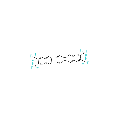 FC(F)(F)c1cc2cc3c(cc2cc1C(F)(F)F)c1cc2c4cc5cc(C(F)(F)F)c(C(F)(F)F)cc5cc4c2cc31